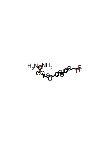 CC(C)(COC(=O)/C=C/c1ccc(OC(=O)c2ccc(OCCCCC(F)(F)F)cc2)cc1)COC(=O)c1cc(N)cc(N)c1